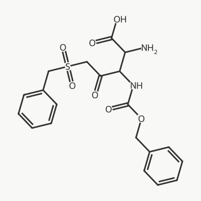 NC(C(=O)O)C(NC(=O)OCc1ccccc1)C(=O)CS(=O)(=O)Cc1ccccc1